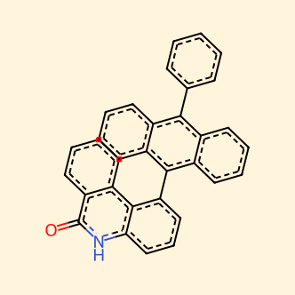 O=c1[nH]c2cccc(-c3c4ccccc4c(-c4ccccc4)c4ccccc34)c2c2ccccc12